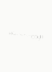 O=C(O)CCC/C=C/CO